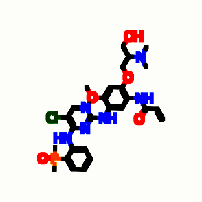 C=CC(=O)Nc1cc(Nc2ncc(Cl)c(Nc3ccccc3P(C)(C)=O)n2)c(OC)cc1OCC(CO)N(C)C